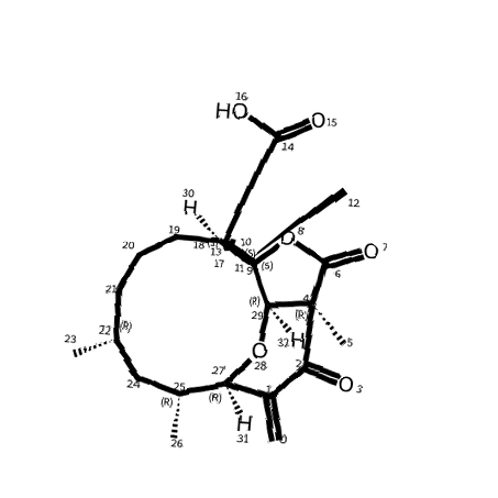 C=C1C(=O)[C@]2(C)C(=O)O[C@@]34C[C@H](C)C(C(=O)O)=C[C@@H]3CCC[C@@H](C)C[C@@H](C)[C@H]1O[C@H]24